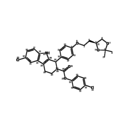 CC1(C)OC[C@H](CCOc2ccc(C3c4[nH]c5ccc(Cl)cc5c4CCN3C(=O)Oc3ccc(Cl)cc3)cc2)O1